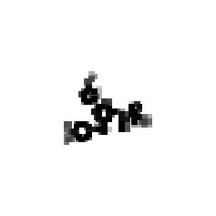 O=C(O)NCc1cc(NC2CCC(F)(F)CC2)nc(-n2ccc(CF)n2)n1